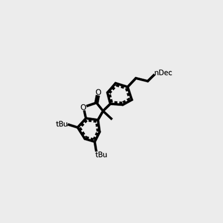 CCCCCCCCCCCCc1ccc(C2(C)C(=O)Oc3c(C(C)(C)C)cc(C(C)(C)C)cc32)cc1